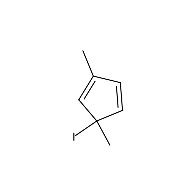 CC1=CC(C)(I)C=C1